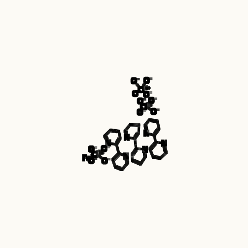 [Fe+3].[O-][Cl+3]([O-])([O-])[O-].[O-][Cl+3]([O-])([O-])[O-].[O-][Cl+3]([O-])([O-])[O-].c1ccc(-c2ccccn2)nc1.c1ccc(-c2ccccn2)nc1.c1ccc(-c2ccccn2)nc1